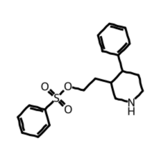 O=S(=O)(OCCC1CNCCC1c1ccccc1)c1ccccc1